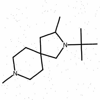 CC1CC2(CCN(C)CC2)CN1C(C)(C)C